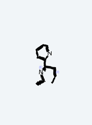 C=C/N=C(\C=C/C)c1ccccn1